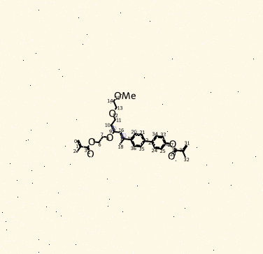 C=C(C)C(=O)OCCOC(=C/COCCOC)/C=C(\C)c1ccc(-c2ccc(OC(=O)C(=C)C)cc2)cc1